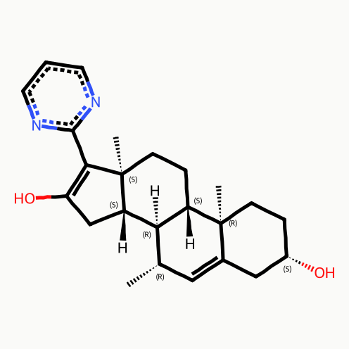 C[C@H]1C=C2C[C@@H](O)CC[C@]2(C)[C@H]2CC[C@]3(C)C(c4ncccn4)=C(O)C[C@H]3[C@H]12